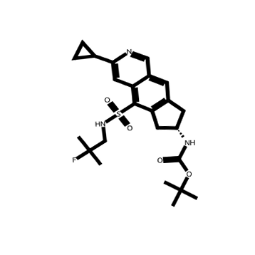 CC(C)(F)CNS(=O)(=O)c1c2c(cc3cnc(C4CC4)cc13)C[C@H](NC(=O)OC(C)(C)C)C2